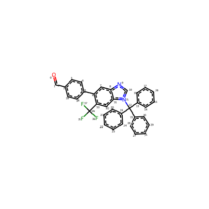 O=Cc1ccc(-c2cc3ncn(C(c4ccccc4)(c4ccccc4)c4ccccc4)c3cc2C(F)(F)F)cc1